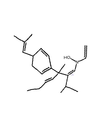 C=CN(O)/C=C(/C(C)C)C(C)(C=CCC)C1=CCC(C=C(C)C)C=C1